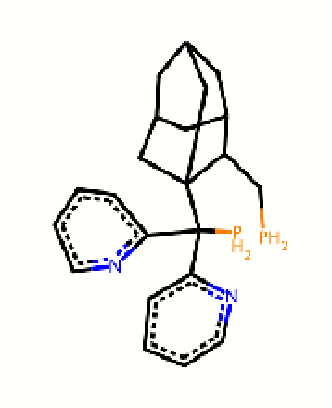 PCC1C2CC3CC(C2)CC1(C(P)(c1ccccn1)c1ccccn1)C3